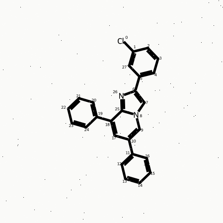 Clc1cccc(-c2cn3cc(-c4ccccc4)cc(-c4ccccc4)c3n2)c1